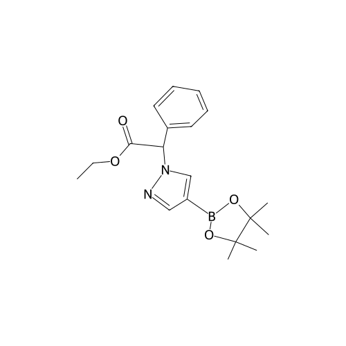 CCOC(=O)C(c1ccccc1)n1cc(B2OC(C)(C)C(C)(C)O2)cn1